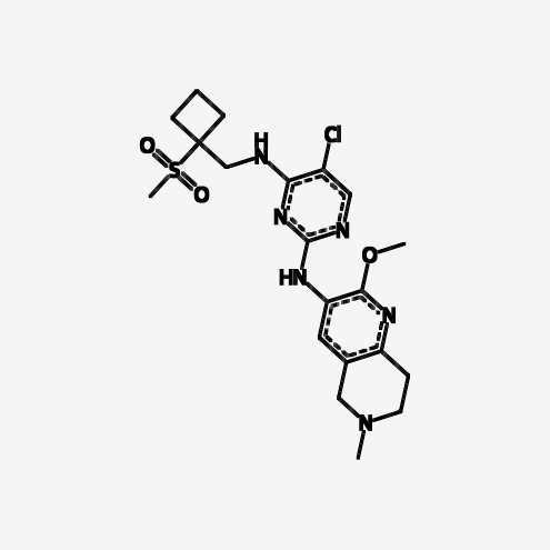 COc1nc2c(cc1Nc1ncc(Cl)c(NCC3(S(C)(=O)=O)CCC3)n1)CN(C)CC2